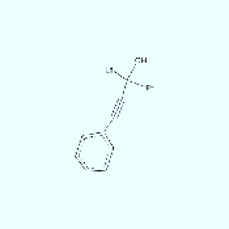 CCC(O)(C#Cc1ccccc1)CC